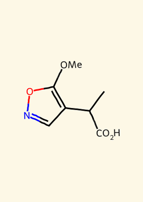 COc1oncc1C(C)C(=O)O